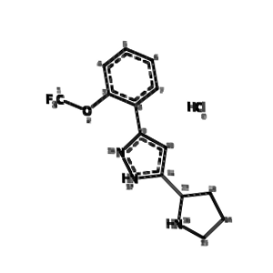 Cl.FC(F)(F)Oc1ccccc1-c1cc(C2CCCN2)[nH]n1